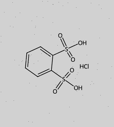 Cl.O=S(=O)(O)c1ccccc1S(=O)(=O)O